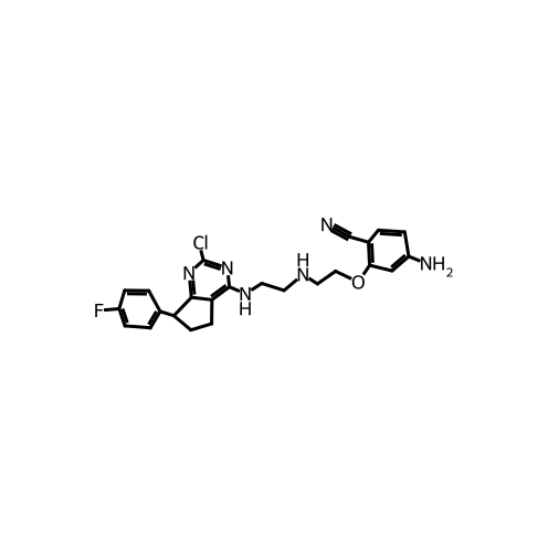 N#Cc1ccc(N)cc1OCCNCCNc1nc(Cl)nc2c1CCC2c1ccc(F)cc1